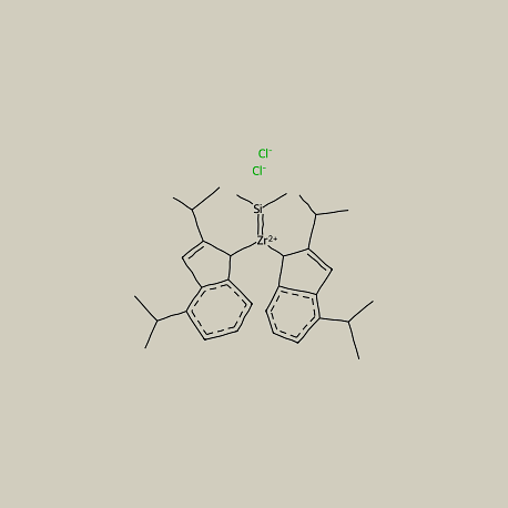 CC(C)C1=Cc2c(C(C)C)cccc2[CH]1[Zr+2]([CH]1C(C(C)C)=Cc2c(C(C)C)cccc21)=[Si](C)C.[Cl-].[Cl-]